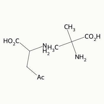 CC(=O)CC(N)C(=O)O.CC(C)(N)C(=O)O